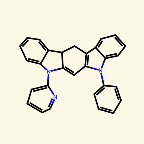 C1=C2C(Cc3c1n(-c1ccccc1)c1ccccc31)c1ccccc1N2c1ccccn1